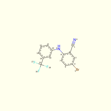 N#Cc1cc(Br)ccc1Nc1cccc(C(F)(F)F)c1